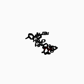 Cc1ccc(-n2nc(C(C)(C)C)cc2NC(=O)Nc2ccc(CC3CC4CCC(C3)N4S(=O)(=O)c3c(C)cc(C)cc3C)cc2)cc1